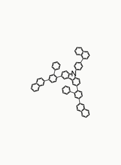 c1ccc(-c2cc(-c3ccc4ccccc4c3)ccc2-c2ccc3c(c2)c2cc(-c4ccc(-c5ccc6ccccc6c5)cc4-c4ccccc4)ccc2n3-c2ccc(-c3cccc4ccccc34)cc2)cc1